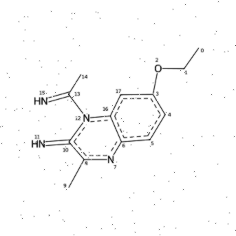 CCOc1ccc2nc(C)c(=N)n(C(C)=N)c2c1